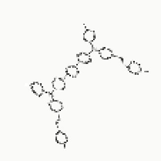 Cc1ccc(/C=C/c2ccc(N(c3ccc(C)cc3)c3ccc(-c4ccc(-c5ccc(N(c6ccc(C)cc6)c6ccc(/C=C/c7ccc(C)cc7)cc6)cc5)cc4)cc3)cc2)cc1